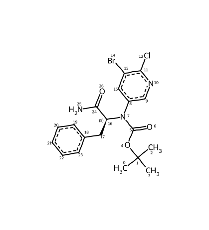 CC(C)(C)OC(=O)N(c1cnc(Cl)c(Br)c1)[C@@H](Cc1ccccc1)C(N)=O